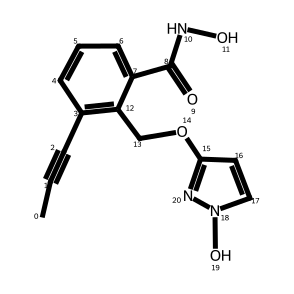 CC#Cc1cccc(C(=O)NO)c1COc1ccn(O)n1